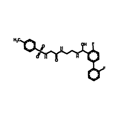 Cc1ccc(S(=O)(=O)NCC(=O)NCCNC(O)c2cc(-c3ccccc3F)ccc2F)cc1